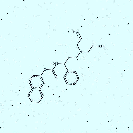 CCCN(CCC)CCC(NC(=O)Oc1ccc2ccccc2n1)c1ccccc1